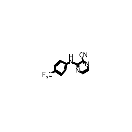 N#Cc1nccnc1Nc1ccc(C(F)(F)F)cc1